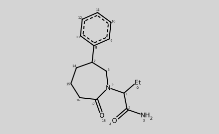 CCC(C(N)=O)N1CC(c2ccccc2)CCCC1=O